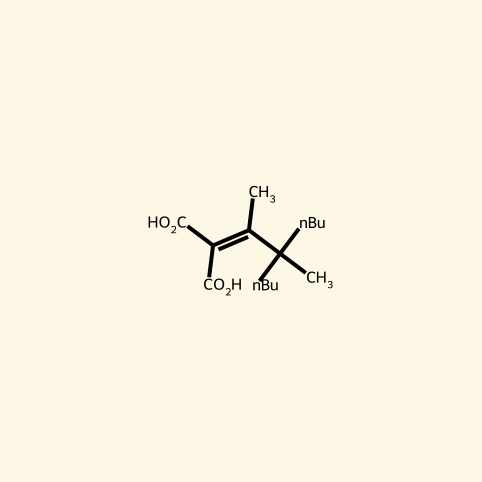 CCCCC(C)(CCCC)C(C)=C(C(=O)O)C(=O)O